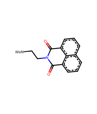 CNCCN1C(=O)c2cccc3cccc(c23)C1=O